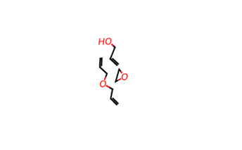 C1CO1.C=CCO.C=CCOCC=C